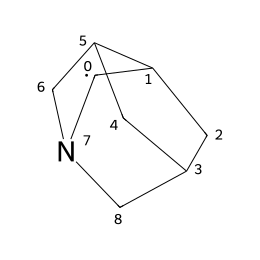 [CH]1C2CC3CC2CN1C3